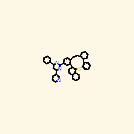 C1=C\c2ccc(-c3nc(-c4ccccc4)cc(-c4cccnc4)n3)cc2-c2ccc3ccccc3c2Sc2ccccc2-c2ccccc2/1